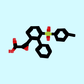 Cc1ccc(S(=O)(=O)c2cccc(C3=C(C(=O)O)O3)c2-c2ccccc2)cc1